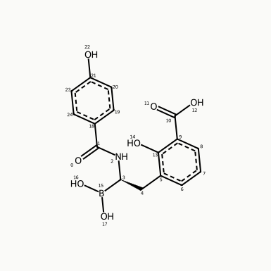 O=C(N[C@@H](Cc1cccc(C(=O)O)c1O)B(O)O)c1ccc(O)cc1